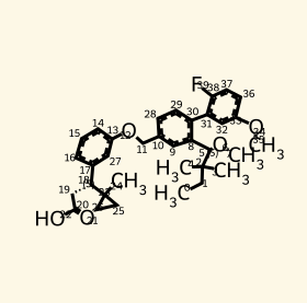 CCC(C)(C)[C@H](OC)c1cc(COc2cccc([C@@H](CC(=O)O)C3(C)CC3)c2)ccc1-c1cc(OC)ccc1F